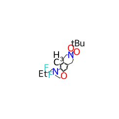 CCC(F)(F)CN1CCOc2cc3c(c(C)c21)CCN(C(=O)OC(C)(C)C)CC3